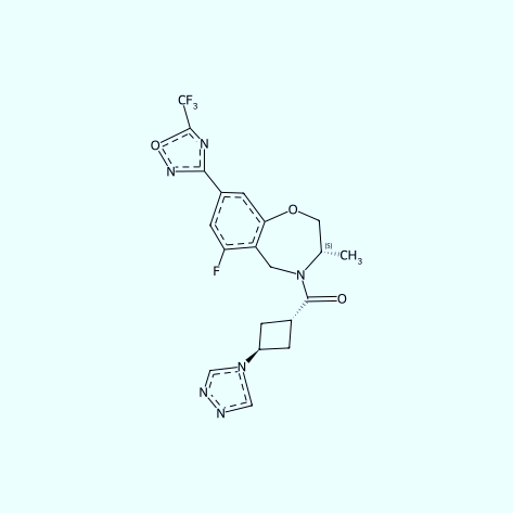 C[C@H]1COc2cc(-c3noc(C(F)(F)F)n3)cc(F)c2CN1C(=O)[C@H]1C[C@H](n2cnnc2)C1